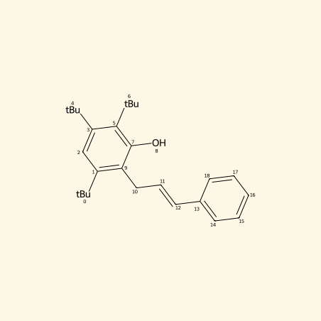 CC(C)(C)c1cc(C(C)(C)C)c(C(C)(C)C)c(O)c1C/C=C/c1ccccc1